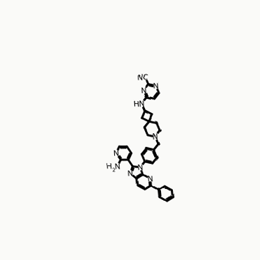 N#Cc1nccc(NC2CC3(CCN(Cc4ccc(-n5c(-c6cccnc6N)nc6ccc(-c7ccccc7)nc65)cc4)CC3)C2)n1